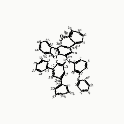 c1ccc(-c2cccc(N(c3cc(-c4ccccc4)cc(-c4ccccc4)c3)c3cc4c5ccccc5sc4c4c3oc3ccccc34)c2)cc1